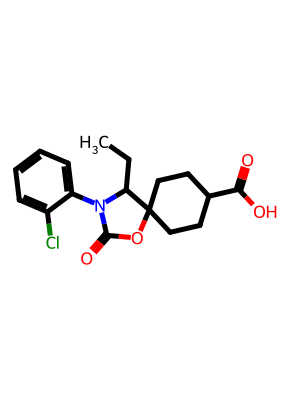 CCC1N(c2ccccc2Cl)C(=O)OC12CCC(C(=O)O)CC2